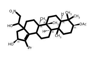 CC(=O)O[C@H]1CCC2(C)[C@H]3CCC4C5=C(C(C)C)[C@@H](O)CC5(C(O)C[N+](=O)[O-])CC[C@@]4(C)[C@]3(C)CC[C@H]2C1(C)C